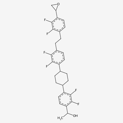 CC(O)c1ccc(C2CCC(c3ccc(CCc4ccc(C5CO5)c(F)c4F)c(F)c3F)CC2)c(F)c1F